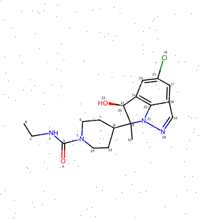 CCNC(=O)N1CCC(C2(C)[C@@H](O)c3cc(Cl)cc4cnn2c34)CC1